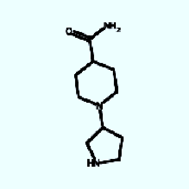 NC(=O)C1CCN(C2CCNC2)CC1